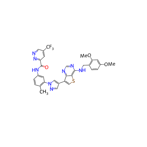 COc1ccc(CNc2ncnc3c(-c4cnn(-c5cc(NC(=O)c6cc(C(F)(F)F)cnn6)ccc5C)c4)csc23)c(OC)c1